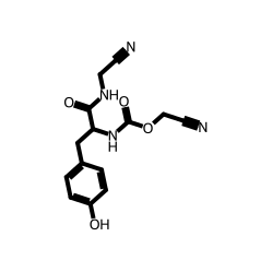 N#CCNC(=O)C(Cc1ccc(O)cc1)NC(=O)OCC#N